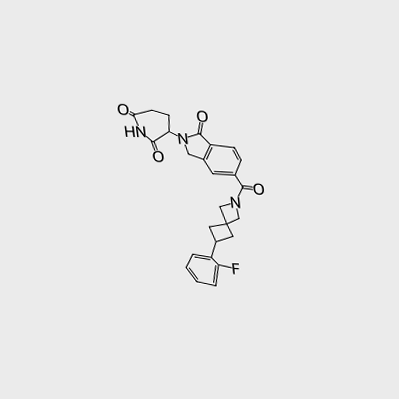 O=C1CCC(N2Cc3cc(C(=O)N4CC5(CC(c6ccccc6F)C5)C4)ccc3C2=O)C(=O)N1